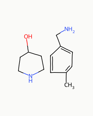 Cc1ccc(CN)cc1.OC1CCNCC1